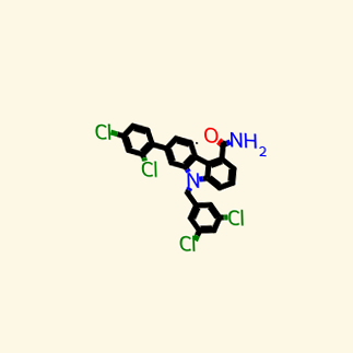 NC(=O)c1cccc2c1c1[c]cc(-c3ccc(Cl)cc3Cl)cc1n2Cc1cc(Cl)cc(Cl)c1